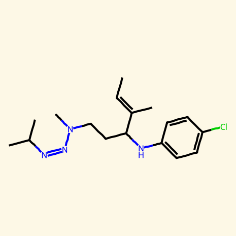 C/C=C(\C)C(CCN(C)/N=N\C(C)C)Nc1ccc(Cl)cc1